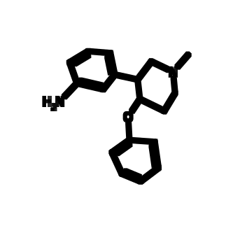 CN1CCC(Oc2ccccc2)C(c2cccc(N)c2)C1